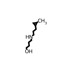 CC1CC1CCCNCCCCO